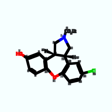 CCOC(=O)N1C[C@@H]2c3cc(O)ccc3Oc3ccc(Cl)cc3[C@H]2C1